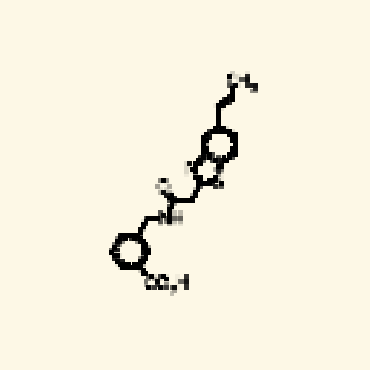 C/C=C/c1ccc2sc(CC(=O)NCc3cccc(C(=O)O)c3)nc2c1